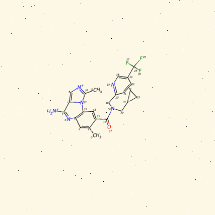 Cc1cc2nc(N)c3cnc(C)n3c2cc1C(=O)N(Cc1ccc(C(F)(F)F)cn1)CC1CC1